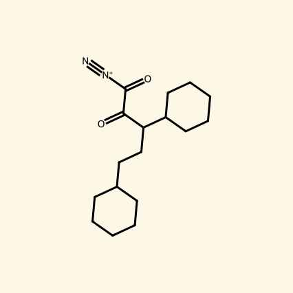 N#[N+]C(=O)C(=O)C(CCC1CCCCC1)C1CCCCC1